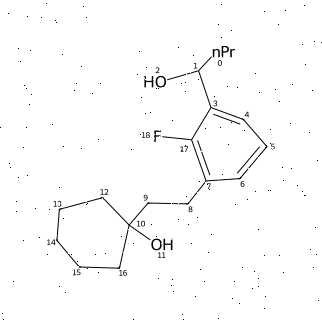 CCCC(O)c1cccc(CCC2(O)CCCCC2)c1F